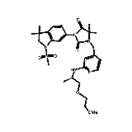 COCCOC[C@@H](C)Nc1cc(CN2C(=O)N(c3ccc4c(c3)N(S(C)(=O)=O)CC4(C)C)C(=O)C2(C)C)ccn1